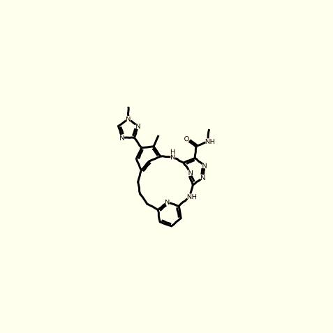 CNC(=O)c1nnc2nc1Nc1cc(cc(-c3ncn(C)n3)c1C)CCCc1cccc(n1)N2